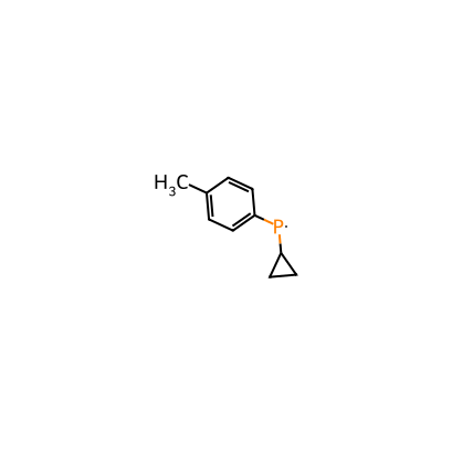 Cc1ccc([P]C2CC2)cc1